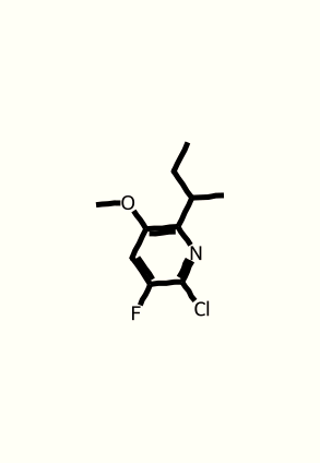 CCC(C)c1nc(Cl)c(F)cc1OC